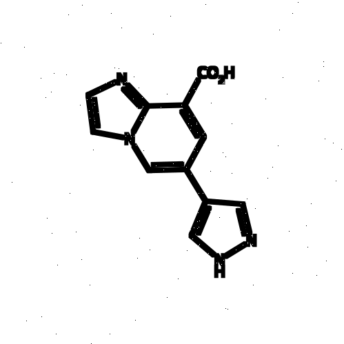 O=C(O)c1cc(-c2cn[nH]c2)cn2ccnc12